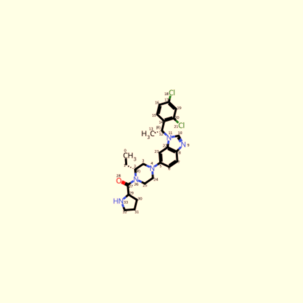 CC[C@@H]1CN(c2ccc3ncn([C@H](C)c4ccc(Cl)cc4Cl)c3c2)CCN1C(=O)C1CCCN1